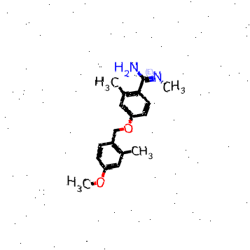 C/N=C(/N)c1ccc(OCc2ccc(OC)cc2C)cc1C